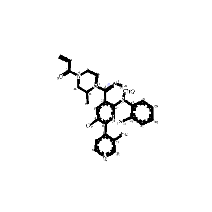 C=CC(=O)N1CCN(/C(=N/C)c2cc(Cl)c(-c3ccncc3F)nc2N(C=O)c2ccccc2C(C)C)C(C)C1